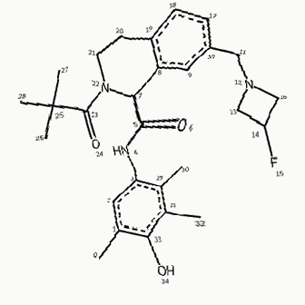 Cc1cc(NC(=O)C2c3cc(CN4CC(F)C4)ccc3CCN2C(=O)C(C)(C)C)c(C)c(C)c1O